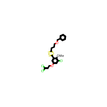 COc1c(Cl)cc(OCC=C(Cl)Cl)cc1C1SSC(CCCOCc2ccccc2)S1